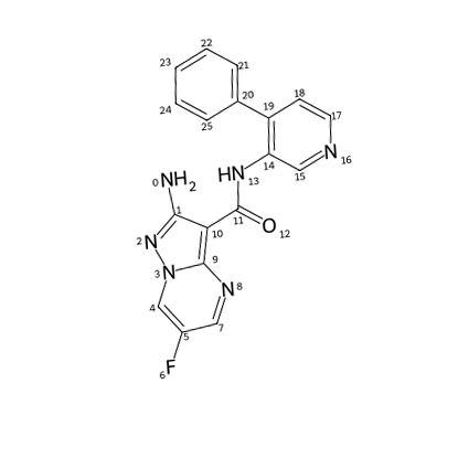 Nc1nn2cc(F)cnc2c1C(=O)Nc1cnccc1-c1ccccc1